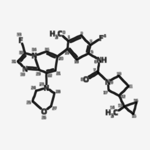 Cc1cc(F)c(NC(=O)N2CCC(C3(C)CC3)C2)cc1-c1cc(N2CCOCC2)c2ncc(F)n2c1